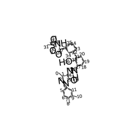 CC1=NN(c2ccc(C)c(C)c2)C(=O)/C1=N\Nc1cccc(-c2cccc(C(=O)NS(C)(=O)=O)c2)c1O